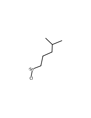 CC(C)CC[CH2][Sn][Cl]